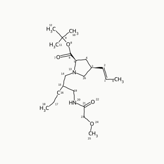 CC=C[C@@H]1C[C@H](C(=O)OC(C)(C)C)N(CC(CCC)CNC(=O)COC)C1